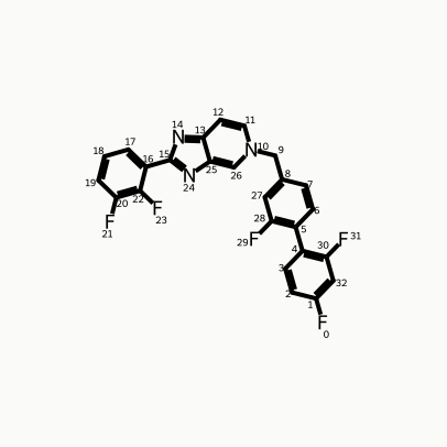 Fc1ccc(-c2ccc(Cn3ccc4nc(-c5cccc(F)c5F)nc-4c3)cc2F)c(F)c1